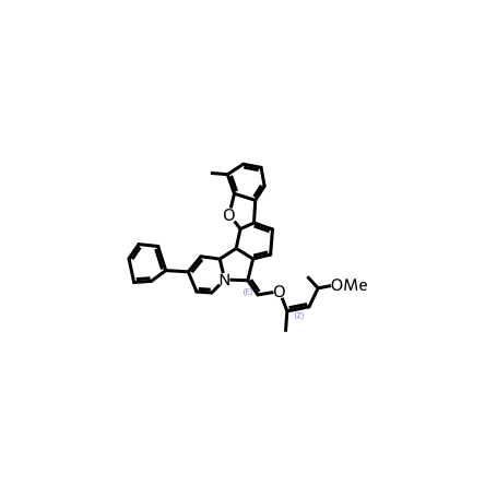 COC(C)/C=C(/C)O/C=C1\C2=CC=C3c4cccc(C)c4OC3C2C2C=C(c3ccccc3)C=CN12